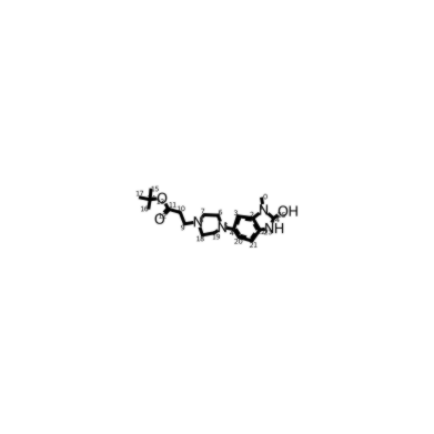 CN1c2cc(N3CCN(CCC(=O)OC(C)(C)C)CC3)ccc2NC1O